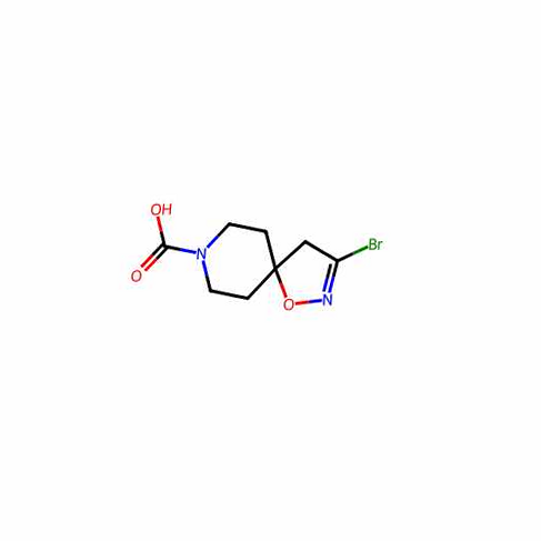 O=C(O)N1CCC2(CC1)CC(Br)=NO2